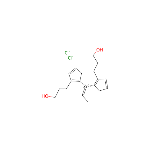 C[CH]=[Zr+2]([C]1=C(CCCO)C=CC1)[C]1=C(CCCO)C=CC1.[Cl-].[Cl-]